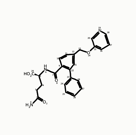 NC(=O)CC[C@H](NC(=O)c1ccc(COc2cccnc2)cc1-c1ccccc1)C(=O)O